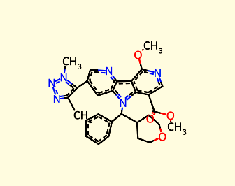 COC(=O)c1cnc(OC)c2c3ncc(-c4c(C)nnn4C)cc3n(C(c3ccccc3)C3CCOCC3)c12